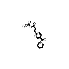 O=C(CC[n+]1ccc(C(=O)N2CCCCC2)cn1)OC(=O)C(F)(F)F